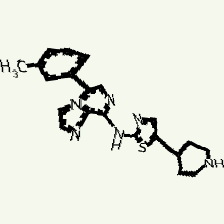 Cc1cccc(-c2cnc(Nc3ncc(C4CCNCC4)s3)c3nccn23)c1